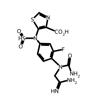 N=C(N)CN(C(N)=O)c1ccc(N(c2scnc2C(=O)O)[SH](=O)=O)cc1F